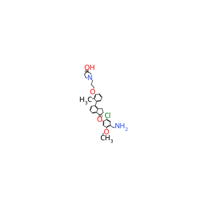 CCOc1cc(O[C@H]2CCc3c(-c4cccc(OCCCN5CC[C@@H](O)C5)c4C)cccc32)c(Cl)cc1CN